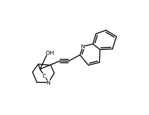 OC1(C#Cc2ccc3ccccc3n2)CN2CCC1CC2